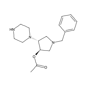 CC(=O)O[C@@H]1CN(Cc2ccccc2)C[C@H]1N1CCNCC1